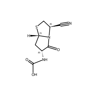 N#C[C@@H]1CS[C@H]2C[C@@H](NC(=O)O)C(=O)N12